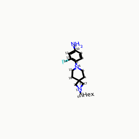 CCCCCCN1CC2(CCN(c3ccc(N)cc3F)CC2)C1